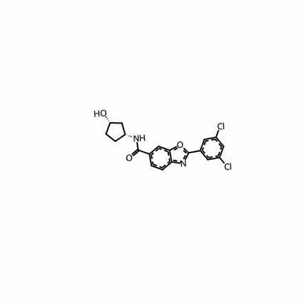 O=C(N[C@@H]1CC[C@H](O)C1)c1ccc2nc(-c3cc(Cl)cc(Cl)c3)oc2c1